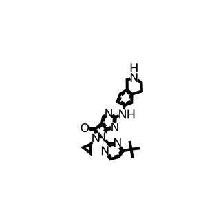 CC(C)(C)c1ccnc(-n2c3nc(Nc4ccc5c(c4)CCNC5)ncc3c(=O)n2C2CC2)n1